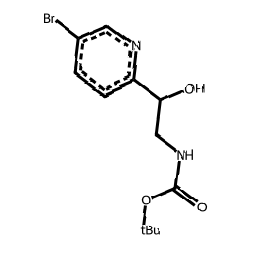 CC(C)(C)OC(=O)NCC(O)c1ccc(Br)cn1